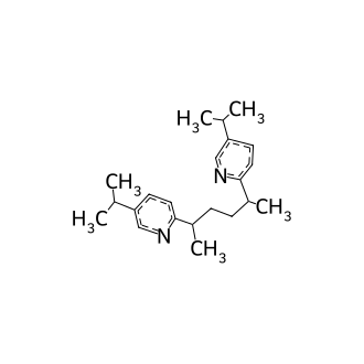 CC(C)c1ccc(C(C)CCC(C)c2ccc(C(C)C)cn2)nc1